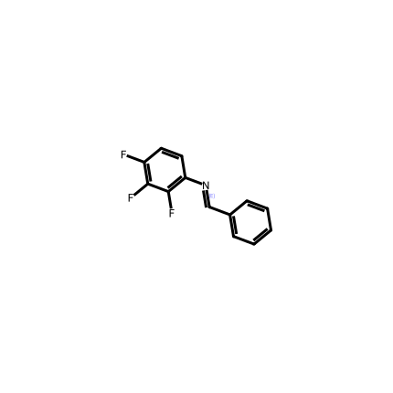 Fc1ccc(/N=C/c2ccccc2)c(F)c1F